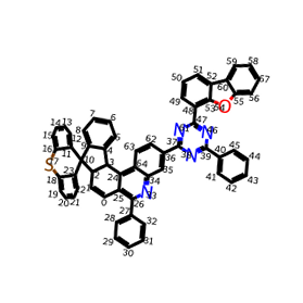 C1=CC2C(c3ccccc3C23c2ccccc2Sc2ccccc23)c2c1c(-c1ccccc1)nc1cc(-c3nc(-c4ccccc4)nc(-c4cccc5c4oc4ccccc45)n3)ccc21